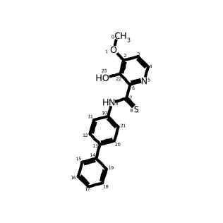 COc1ccnc(C(=S)Nc2ccc(-c3ccccc3)cc2)c1O